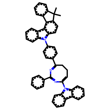 CC1(C)c2ccccc2-c2c1ccc1c2c2ccccc2n1-c1ccc(/C2=N/C(c3ccccc3)=N\C(n3c4ccccc4c4ccccc43)=C/CC2)cc1